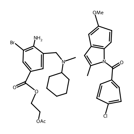 CC(=O)OCCOC(=O)c1cc(Br)c(N)c(CN(C)C2CCCCC2)c1.COc1ccc2c(c1)cc(C)n2C(=O)c1ccc(Cl)cc1